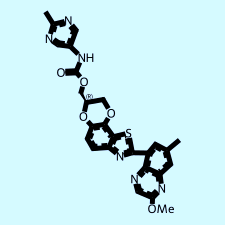 COc1cnc2c(-c3nc4ccc5c(c4s3)OC[C@H](COC(=O)Nc3cnc(C)nc3)O5)cc(C)cc2n1